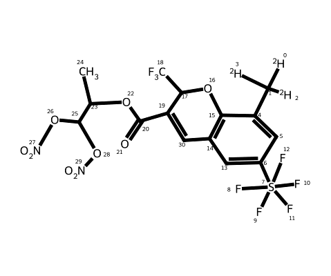 [2H]C([2H])([2H])c1cc(S(F)(F)(F)(F)F)cc2c1OC(C(F)(F)F)C(C(=O)OC(C)C(O[N+](=O)[O-])O[N+](=O)[O-])=C2